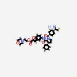 NC(CF)[C@H]1CC[C@H](C(=O)N2CC[C@@H](C3CCCCC3)[C@H]2C(=O)Nc2ccc3oc(C(=O)OCCN4CCOCC4)cc3c2)CC1